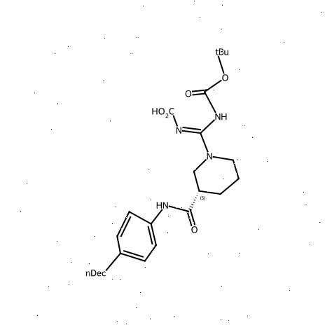 CCCCCCCCCCc1ccc(NC(=O)[C@H]2CCCN(C(=NC(=O)O)NC(=O)OC(C)(C)C)C2)cc1